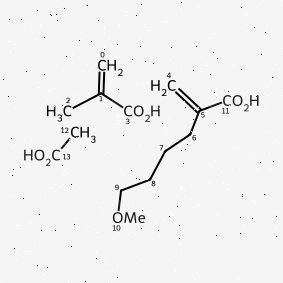 C=C(C)C(=O)O.C=C(CCCCOC)C(=O)O.CC(=O)O